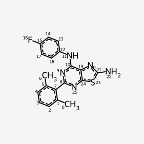 Cc1cccc(C)c1-c1nc(Nc2ccc(F)cc2)c2nc(N)sc2n1